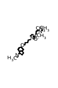 C/C=N\C(C)=C/C(C)N1CCN(CCCCCOc2ccc3c(c2)CC/C3=N\CC)[S+]1[O-]